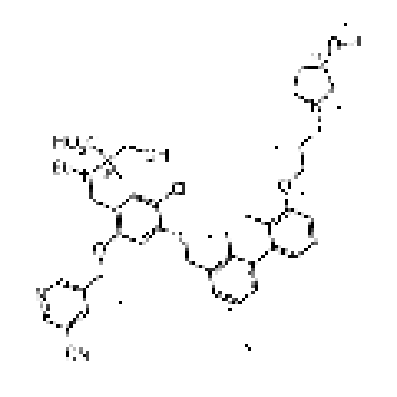 CCN(Cc1cc(Cl)c(OCc2cccc(-c3cccc(OCCCN4CC[C@@H](OI)C4)c3C)c2C)cc1OCc1cncc(C#N)c1)[C@@](C)(CO)C(=O)O